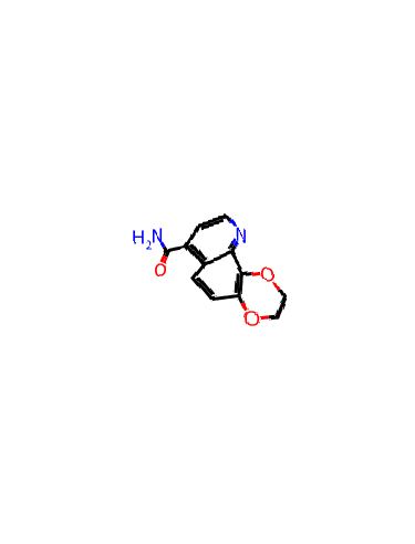 NC(=O)c1ccnc2c3c(ccc12)OCCO3